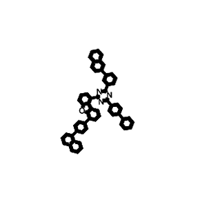 c1ccc(-c2ccc(-c3nc(-c4cccc(-c5ccc6ccccc6c5)c4)nc(-c4cccc5oc6c(-c7ccc(-c8cccc9ccccc89)cc7)cccc6c45)n3)cc2)cc1